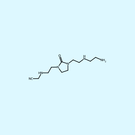 N#CCNCCN1CCN(CCNCCN)C1=O